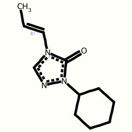 C/C=C/n1cnn(C2CCCCC2)c1=O